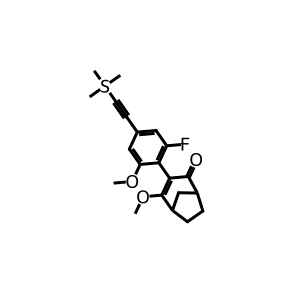 COC1=C(c2c(F)cc(C#CS(C)(C)C)cc2OC)C(=O)C2CCC1C2